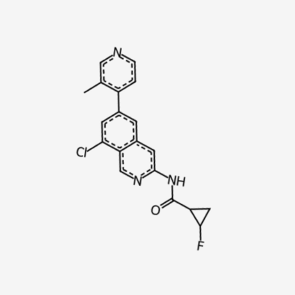 Cc1cnccc1-c1cc(Cl)c2cnc(NC(=O)C3CC3F)cc2c1